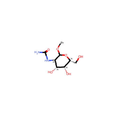 CC(C)OC1O[C@H](CO)[C@H](O)[C@H](O)[C@H]1NC(N)=O